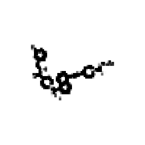 CC(c1cccc2c(C#CC3CCN(C(=O)OC(C)(C)C)CC3)cccc12)N1CCC(C(=O)NCc2cccc(F)c2)CC1